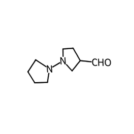 O=CC1CCN(N2CCCC2)C1